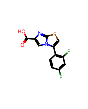 O=C(O)c1cn2c(-c3ccc(F)cc3F)csc2n1